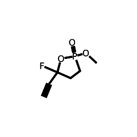 C#CC1(F)CCP(=O)(OC)O1